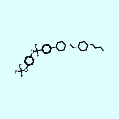 CCCC[C@H]1CC[C@H](CC[C@H]2CC[C@H](c3ccc(C(F)(F)Oc4ccc(OC(F)(F)F)cc4)cc3)CC2)CC1